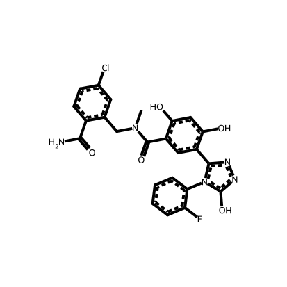 CN(Cc1cc(Cl)ccc1C(N)=O)C(=O)c1cc(-c2nnc(O)n2-c2ccccc2F)c(O)cc1O